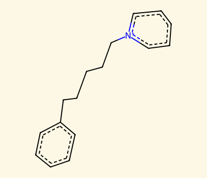 c1ccc(CCCCC[n+]2ccccc2)cc1